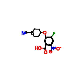 N#CB1CCC(Oc2cc(C(=O)O)c([N+](=O)[O-])cc2F)CC1